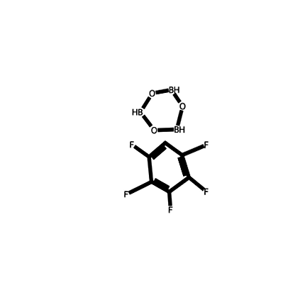 B1OBOBO1.Fc1cc(F)c(F)c(F)c1F